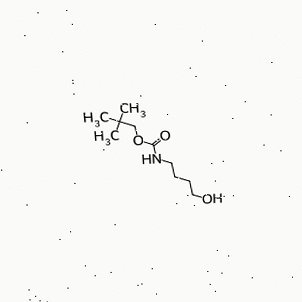 CC(C)(C)COC(=O)NCCCCO